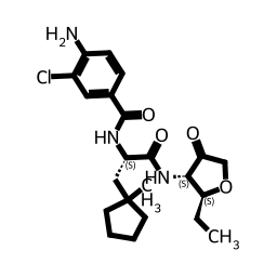 CC[C@@H]1OCC(=O)[C@H]1NC(=O)[C@H](CC1(C)CCCC1)NC(=O)c1ccc(N)c(Cl)c1